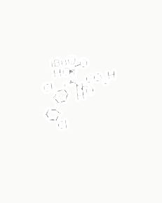 CC(C)COC(=O)[C@H](O)C[C@@H](Cc1ccc(-c2cccc(Cl)c2)cc1Cl)NC(=O)C(=O)O